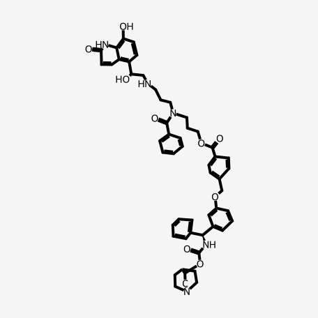 O=C(N[C@@H](c1ccccc1)c1cccc(OCc2ccc(C(=O)OCCCN(CCCNCC(O)c3ccc(O)c4[nH]c(=O)ccc34)C(=O)c3ccccc3)cc2)c1)OC1CN2CCC1CC2